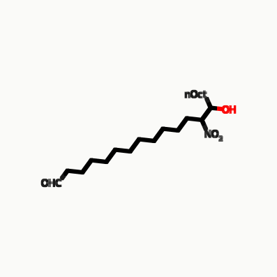 CCCCCCCCC(O)C(CCCCCCCCCCCC=O)[N+](=O)[O-]